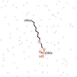 CCCCCCCCCCCCCCCCOCCOP(=O)(O)OC